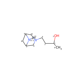 CC(O)CCN1CC2CC(C1)N2C(C)C